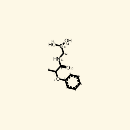 CC(Oc1ccccc1)C(=O)NCB(O)O